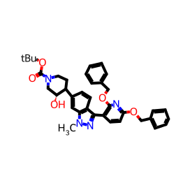 Cn1nc(-c2ccc(OCc3ccccc3)nc2OCc2ccccc2)c2ccc(C3CCN(C(=O)OC(C)(C)C)C[C@H]3O)cc21